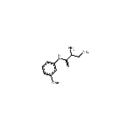 COc1cccc(NC(=O)C(N)CN)c1